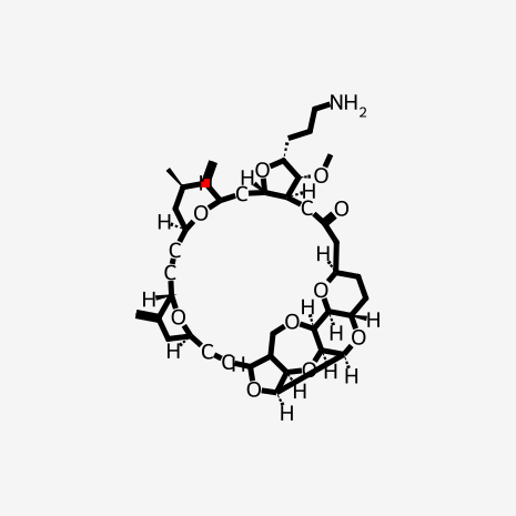 C=C1C[C@@H]2CC[C@H]3O[C@@H]4[C@@H]5O[C@H]6CC[C@H](CC(=O)C[C@@H]7[C@@H](OC)[C@@H](CCCN)O[C@H]7C[C@H]7O[C@@H](CC[C@@H]1O2)C[C@@H](C)C7=C)O[C@@H]6[C@@H]1OCC3[C@H]4O[C@@H]15